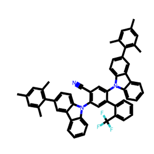 Cc1cc(C)c(-c2ccc3c(c2)c2ccccc2n3-c2cc(-c3ccccc3C(F)(F)F)c(-n3c4ccccc4c4cc(-c5c(C)cc(C)cc5C)ccc43)cc2C#N)c(C)c1